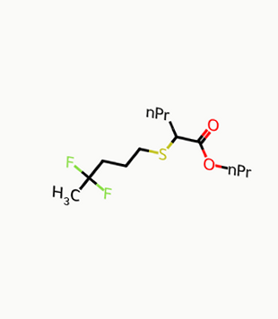 CCCOC(=O)C(CCC)SCCCC(C)(F)F